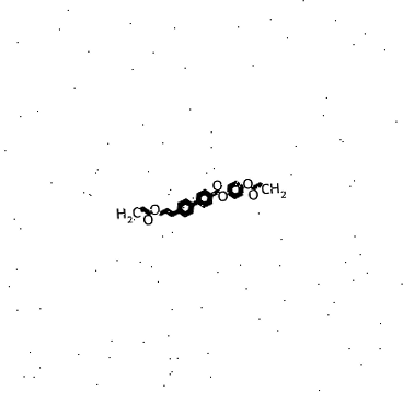 C=CC(=O)OC/C=C/c1ccc(-c2ccc(C(=O)Oc3ccc(OC(=O)C=C)cc3)cc2)cc1